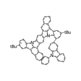 CC(C)(C)c1ccc2c(c1)c1cc3ccccc3c3c4cc5c(cc4n2c13)c1cc2ccccc2c2c3cc(C(C)(C)C)cc(-c4ccc6c(c4)c4ccccc4n6-c4ccccc4)c3n5c12